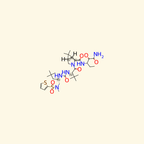 CCC(NC(=O)[C@@H]1[C@@H]2[C@H](CN1C(=O)[C@@H](NC(=O)N[C@H](CN(C)S(=O)(=O)c1cccs1)CC(C)(C)C)C(C)(C)C)C2(C)C)C(=O)C(N)=O